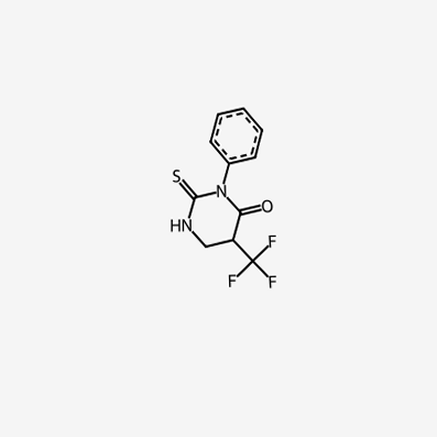 O=C1C(C(F)(F)F)CNC(=S)N1c1ccccc1